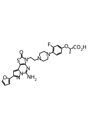 C[C@@H](Oc1ccc(N2CCN(CCn3c(=O)sc4c3nc(N)n3nc(-c5ccco5)cc43)CC2)c(F)c1)C(=O)O